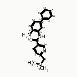 CN(C)Cc1ccc(C(=O)Nc2cc(-c3ccccc3)ccc2N)cn1